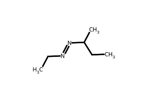 CCN=NC(C)CC